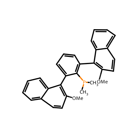 COc1ccc2ccccc2c1-c1cccc(-c2c(OC)ccc3ccccc23)c1P(C)C